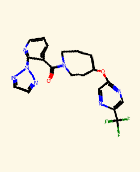 O=C(c1cccnc1-n1nccn1)N1CCCC(Oc2cnc(C(F)(F)F)cn2)CC1